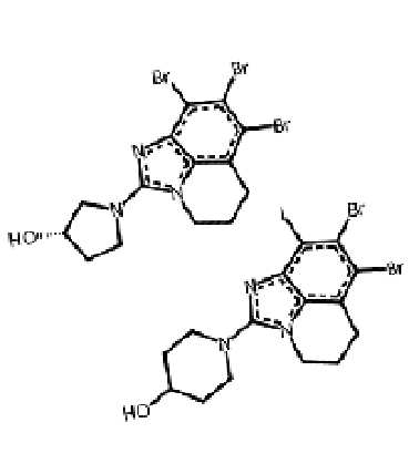 OC1CCN(c2nc3c(I)c(Br)c(Br)c4c3n2CCC4)CC1.O[C@H]1CCN(c2nc3c(Br)c(Br)c(Br)c4c3n2CCC4)C1